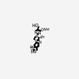 COc1nc(N2CCn3c(nc4cc(CO)c(S(C)(=O)=O)cc43)[C@H]2C(C)C)ncc1CO